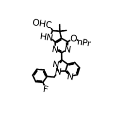 CCCOc1nc(-c2nn(Cc3ccccc3F)c3ncccc23)nc2c1C(C)(C)C(C=O)N2